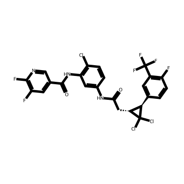 O=C(C[C@@H]1[C@@H](c2ccc(F)c(C(F)(F)F)c2)C1(Cl)Cl)Nc1ccc(Cl)c(NC(=O)c2cnc(F)c(F)c2)c1